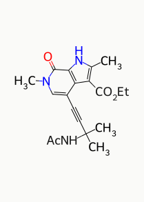 CCOC(=O)c1c(C)[nH]c2c(=O)n(C)cc(C#CC(C)(C)NC(C)=O)c12